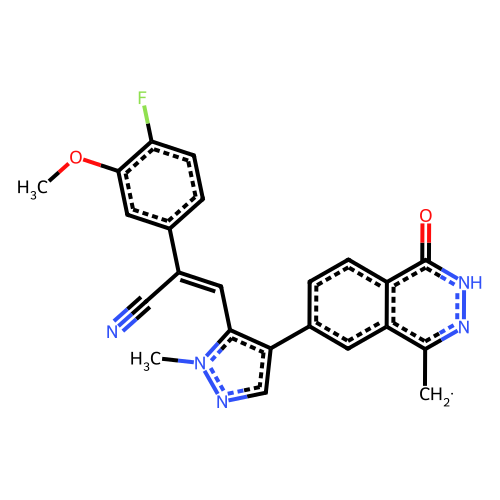 [CH2]c1n[nH]c(=O)c2ccc(-c3cnn(C)c3C=C(C#N)c3ccc(F)c(OC)c3)cc12